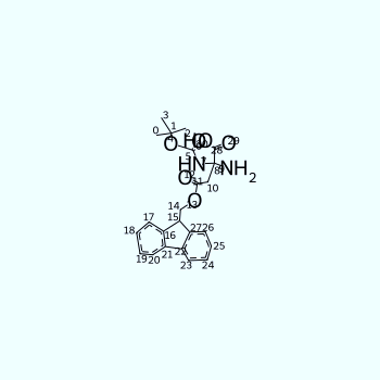 CC(C)(C)OC(=O)NC(N)(CC(=O)OCC1c2ccccc2-c2ccccc21)C(=O)O